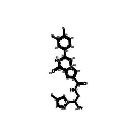 Cc1cnn(C(CNC(=O)c2cc3c(=O)[nH]c(-c4ccc(C)c(C)c4)nn3c2)C(C)C)c1